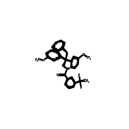 CC(F)(F)c1cccc(C(=O)NCC(Cc2ccccc2)(c2cccc(OC(F)(F)F)c2)c2cccc(OC(F)(F)F)c2)c1